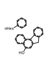 CCCCCCc1ccccc1.Oc1cc2c(c3ccccc13)-c1ccccc1C2